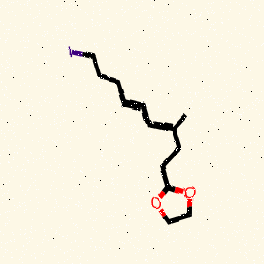 CC(=CC=CCCCI)CCC1OCCO1